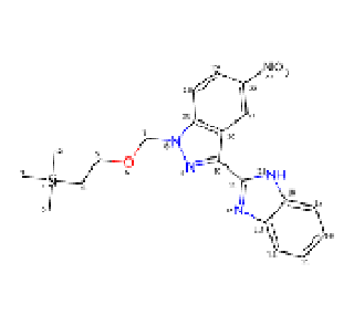 C[Si](C)(C)CCOCn1nc(-c2nc3ccccc3[nH]2)c2cc([N+](=O)[O-])ccc21